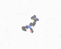 c1cc(-c2cccc(-c3cc4c5ccccc5n5c6ccccc6c6cccc7sc3c(c76)c45)c2)cc(-c2nc(-c3ccc(-c4cccc5ccccc45)cc3)nc(-c3ccc4c(c3)oc3ccccc34)n2)c1